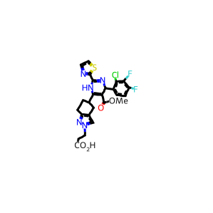 COC(=O)C1=C(C2CCc3nn(CCC(=O)O)cc3C2)NC(c2nccs2)=NC1c1ccc(F)c(F)c1Cl